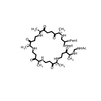 CCCCCCCC(CCCCC)CN[C@@H](C)C(=O)CCC(=O)[C@H](C)NCCC(=O)[C@H](C)NCCC(=O)[C@H](C)NCCC(=O)[C@H](C)NCCC(=O)[C@H](C)NCNC(C)=O